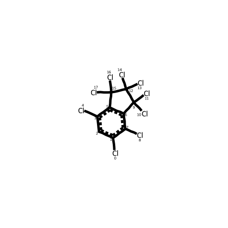 Clc1cc(Cl)c2c(c1Cl)C(Cl)(Cl)C(Cl)(Cl)C2(Cl)Cl